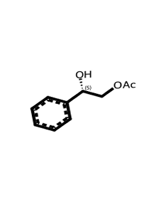 CC(=O)OC[C@@H](O)c1ccccc1